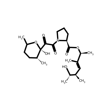 C/C(=C\[C@@H](C)[C@H](C)O)[C@H](C)OC(=O)[C@@H]1CCCN1C(=O)C(=O)[C@]1(O)OC(C)CC[C@H]1C